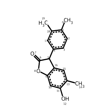 Cc1ccc(C2C(=O)Oc3cc(O)c(C)cc32)cc1C